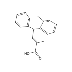 C/C(=C\C(c1ccccc1)c1ccccc1C)C(=O)O